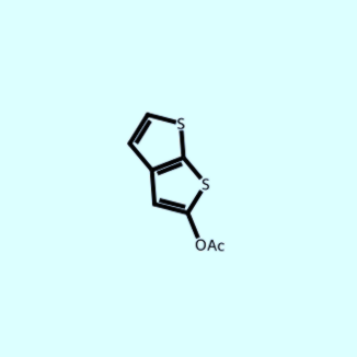 CC(=O)Oc1cc2ccsc2s1